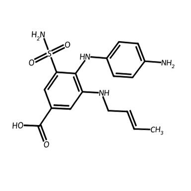 C/C=C/CNc1cc(C(=O)O)cc(S(N)(=O)=O)c1Nc1ccc(N)cc1